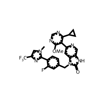 COc1ncnc(C2CC2)c1-c1cc2c(cn1)[nH]c(=O)n2Cc1ccc(-c2nc(C(F)(F)F)cn2C)c(F)c1